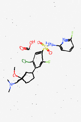 COC1(CN(C)C)CCC(c2cc(F)c(S(=O)(=O)Nc3cccc(F)n3)cc2Cl)C1.O=CO